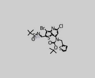 CC(C)(C)OC(=O)N(Cc1cccs1)c1cc(Cl)nc2c(Br)c(/C=N/[S@+]([O-])C(C)(C)C)sc12